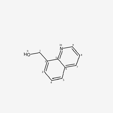 OCc1cccc2cccnc12